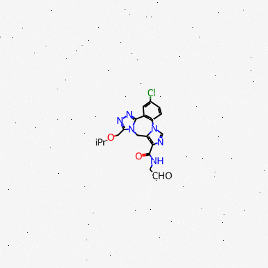 CC(C)OCc1nnc2n1Cc1c(C(=O)NCC=O)ncn1-c1ccc(Cl)cc1-2